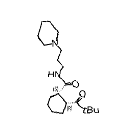 CC(C)(C)C(=O)[C@@H]1CCCC[C@@H]1C(=O)NCCCN1CCCCC1